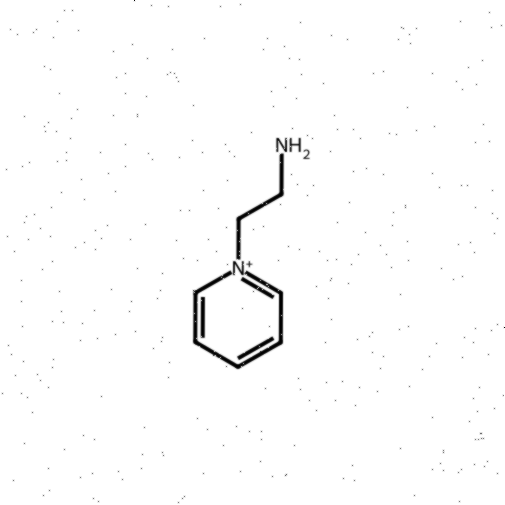 NCC[n+]1ccccc1